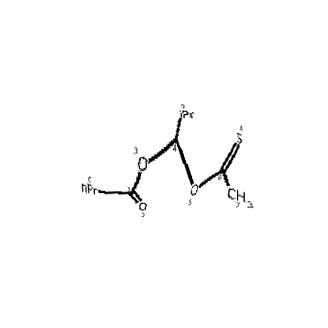 CCCC(=O)OC(OC(C)=S)C(C)C